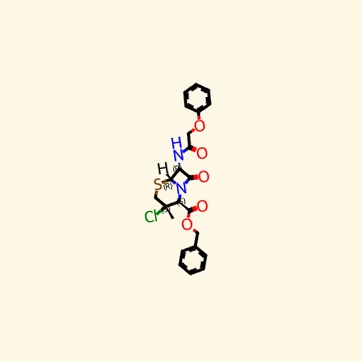 C[C@@]1(Cl)CS[C@@H]2[C@H](NC(=O)COc3ccccc3)C(=O)N2[C@H]1C(=O)OCc1ccccc1